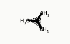 CCCCCCCC(=O)OC1CC(OC(=O)CCCCCCC)CC(OC(=O)CCCCCCC)C1